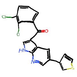 O=C(c1cccc(Cl)c1Cl)c1c[nH]c2ncc(-c3ccsc3)cc12